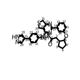 NC(=O)CC1CCCC1Oc1cccc(-c2nc3c(c(Nc4ccc(-c5cn[nH]c5)cc4)n2)CSC3)c1